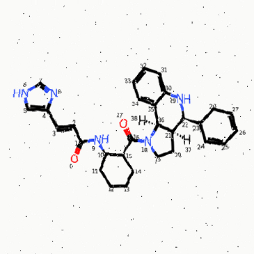 O=C(/C=C/c1c[nH]cn1)N[C@@H]1CCCC[C@@H]1C(=O)N1CC[C@@H]2[C@H](C3C=CC=CC3)Nc3ccccc3[C@@H]21